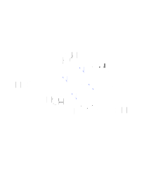 Cc1c(C)c(C)[n]([Ti]([N](C)C)([N](C)C)[n]2c(C)c(C)c(C)c2C)c1C